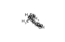 CCCc1onc(-c2c(C)ccnc2C)c1COc1ccc(-c2ccc3nc(C(=O)O)ccc3c2)cc1